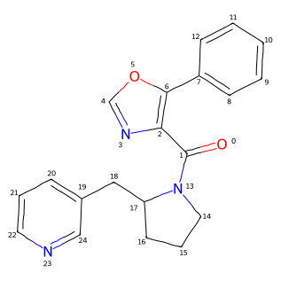 O=C(c1ncoc1-c1ccccc1)N1CCCC1Cc1cccnc1